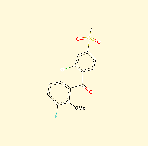 COc1c(F)cccc1C(=O)c1ccc(S(C)(=O)=O)cc1Cl